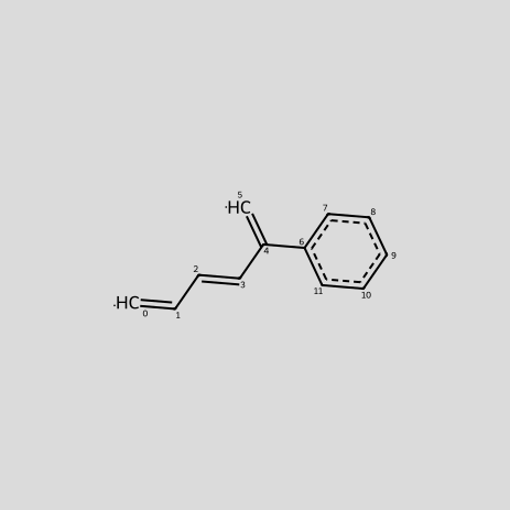 [CH]=CC=CC(=[CH])c1ccccc1